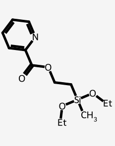 CCO[Si](C)(CCOC(=O)c1ccccn1)OCC